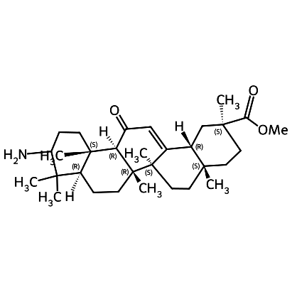 COC(=O)[C@@]1(C)CC[C@]2(C)CC[C@]3(C)C(=CC(=O)[C@@H]4[C@@]5(C)CCC(N)C(C)(C)[C@@H]5CC[C@]43C)[C@@H]2C1